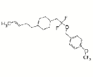 CC=CCCC1CCC(CC(F)(F)OCc2ccc(OC(F)(F)F)cc2)CC1